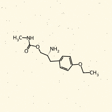 CCOc1ccc(C[C@@H](N)COC(=O)NC)cc1